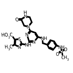 Cc1nc(Nc2nc(NCc3ccc(NS(C)(=O)=O)cc3)cc(N3CCNC(=O)C3)n2)sc1C(=O)O